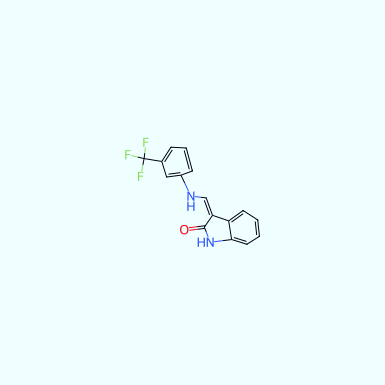 O=C1Nc2ccccc2C1=CNc1cccc(C(F)(F)F)c1